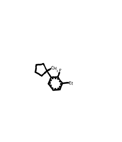 CCc1cccc(C2(C)CCCC2)c1F